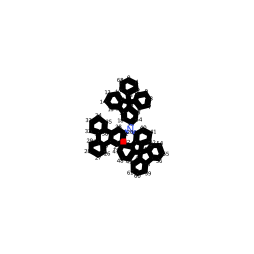 c1ccc(C2(c3ccccc3)c3ccccc3-c3cc(N(c4ccc5c6ccccc6c6ccccc6c5c4)c4cccc5c4-c4ccccc4C54c5ccccc5-c5ccccc54)ccc32)cc1